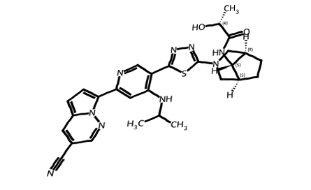 CC(C)Nc1cc(-c2ccc3cc(C#N)cnn23)ncc1-c1nnc(N2C[C@H]3CC[C@@H](C2)[C@@H]3NC(=O)[C@@H](C)O)s1